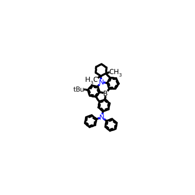 CC(C)(C)c1cc2c3c(c1)N1c4c(cccc4C4(C)CCCCC14C)B3c1ccc(N(c3ccccc3)c3ccccc3)cc1-2